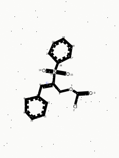 O=C(Cl)OC/C(=C\c1ccccc1)S(=O)(=O)c1ccccc1